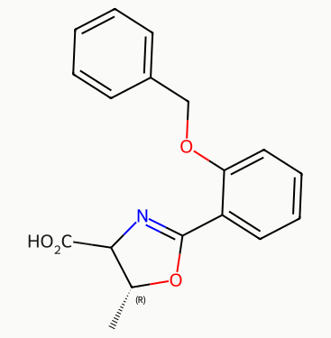 C[C@H]1OC(c2ccccc2OCc2ccccc2)=NC1C(=O)O